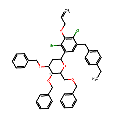 C=CCOc1c(Cl)c(Cc2ccc(CC)cc2)cc(C2CC(OCc3ccccc3)[C@H](OCc3ccccc3)C(COCc3ccccc3)O2)c1Br